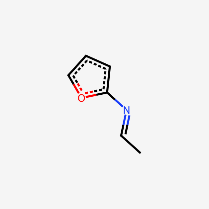 CC=Nc1ccco1